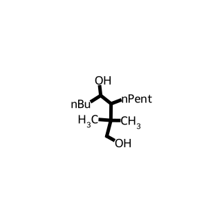 CCCCCC(C(O)CCCC)C(C)(C)CO